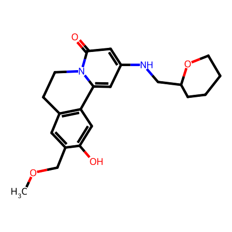 COCc1cc2c(cc1O)-c1cc(NCC3CCCCO3)cc(=O)n1CC2